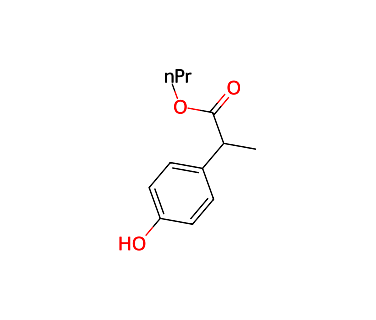 CCCOC(=O)C(C)c1ccc(O)cc1